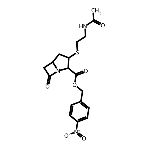 CC(=O)NCCSC1CC2CC(=O)N2C1C(=O)OCc1ccc([N+](=O)[O-])cc1